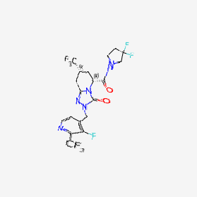 O=C([C@H]1C[C@@H](C(F)(F)F)Cc2nn(Cc3ccnc(C(F)(F)F)c3F)c(=O)n21)N1CCC(F)(F)C1